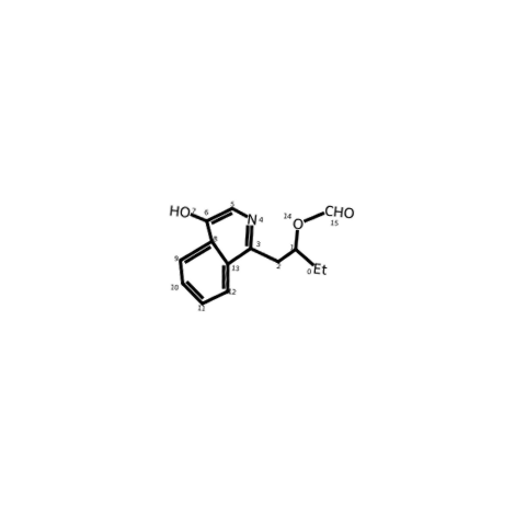 CCC(Cc1ncc(O)c2ccccc12)OC=O